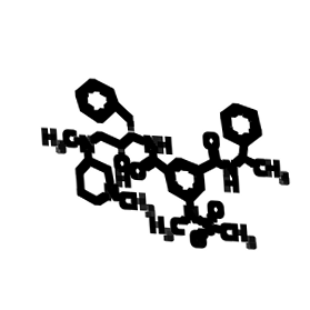 C[C@@H](NC(=O)c1cc(C(=O)N[C@@H](Cc2ccccc2)[C@H](O)CN(C)C2CCCN(C)C2)cc(N(C)S(C)(=O)=O)c1)c1ccccc1